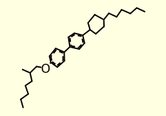 CCCCCCC1CCC(c2ccc(-c3ccc(OCC(C)CCCCC)cc3)cc2)CC1